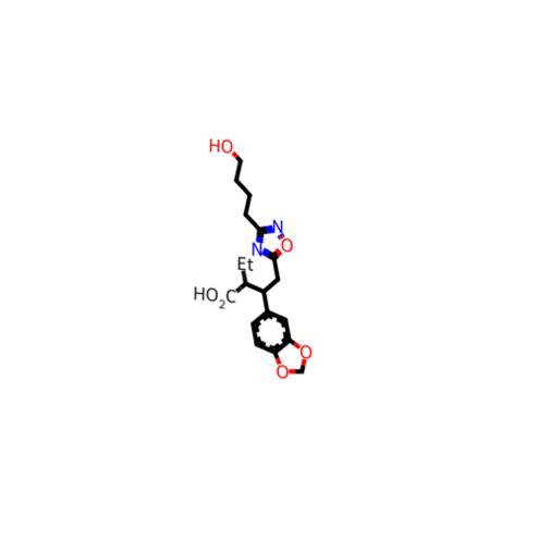 CCC(C(=O)O)C(Cc1nc(CCCCO)no1)c1ccc2c(c1)OCO2